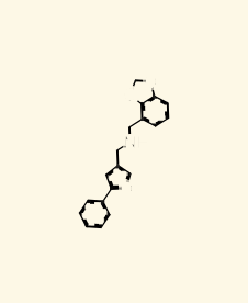 c1ccc(-c2cc(CNCc3cccc4c3OCO4)co2)cc1